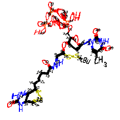 Cc1cn([C@H]2CC(OC(CNC(=O)CCCCC3SCC4NC(=O)NC43)SSC(C)(C)C)[C@@H](COP(=O)(O)OP(=O)(O)OP(=O)(O)O)O2)c(=O)[nH]c1=O